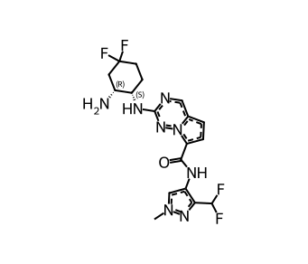 Cn1cc(NC(=O)c2ccc3cnc(N[C@H]4CCC(F)(F)C[C@H]4N)nn23)c(C(F)F)n1